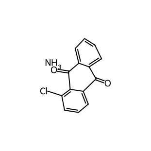 N.O=C1c2ccccc2C(=O)c2c(Cl)cccc21